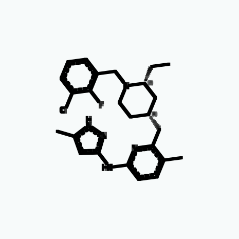 CC[C@@H]1C[C@H](Cc2nc(Nc3cc(C)[nH]n3)ccc2C)CCN1Cc1cccc(Cl)c1F